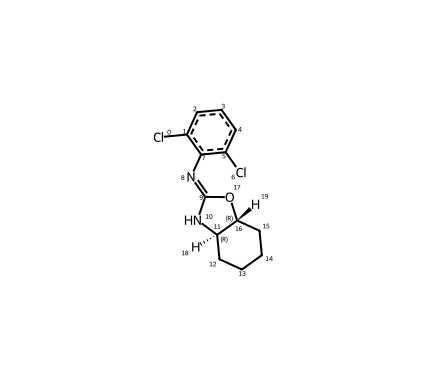 Clc1cccc(Cl)c1N=C1N[C@@H]2CCCC[C@H]2O1